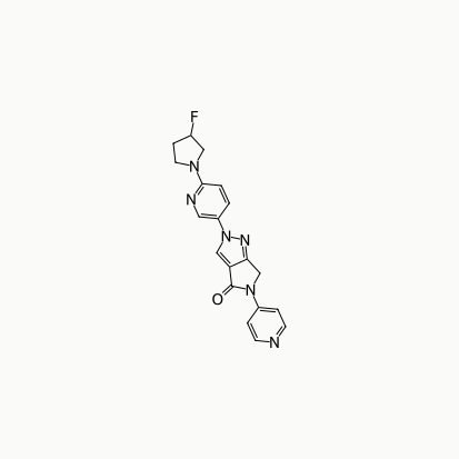 O=C1c2cn(-c3ccc(N4CCC(F)C4)nc3)nc2CN1c1ccncc1